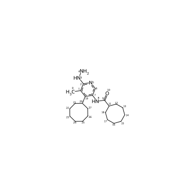 Cc1c(NN)ncc(NC(=O)C2CCCCCCC2)c1C1CCCCCCC1